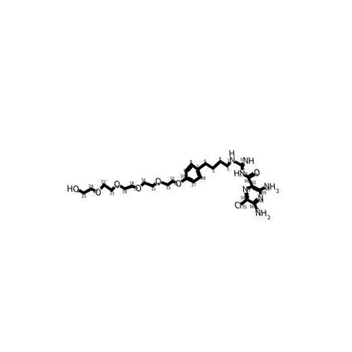 N=C(NCCCCc1ccc(OCCOCCOCCOCCOCCO)cc1)NC(=O)c1nc(Cl)c(N)nc1N